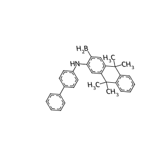 Bc1cc2c(cc1Nc1ccc(-c3ccccc3)cc1)C(C)(C)c1ccccc1C2(C)C